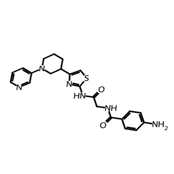 Nc1ccc(C(=O)NCC(=O)Nc2nc(C3CCCN(c4cccnc4)C3)cs2)cc1